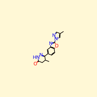 Cc1cnn(-c2nc3cc(C4=NNC(=O)CC4C)ccc3o2)c1